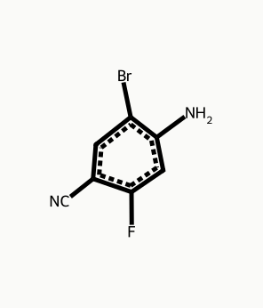 N#Cc1cc(Br)c(N)cc1F